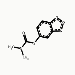 CN(C)C(=O)Sc1ccc2nonc2c1